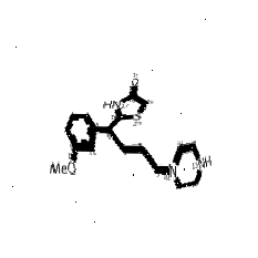 COc1cccc(C(CCCN2CCNCC2)C2NC(=O)CS2)c1